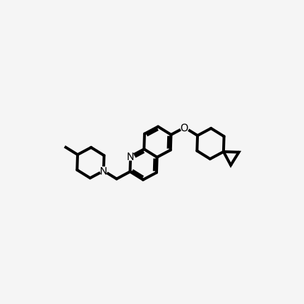 CC1CCN(Cc2ccc3cc(OC4CCC5(CC4)CC5)ccc3n2)CC1